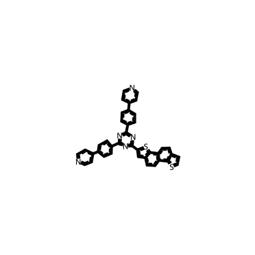 c1cc(-c2ccc(-c3nc(-c4ccc(-c5ccncc5)cc4)nc(-c4cc5ccc6c(ccc7ccsc76)c5s4)n3)cc2)ccn1